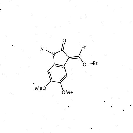 CCOC(CC)=C1C(=O)N(C(C)=O)c2cc(OC)c(OC)cc21